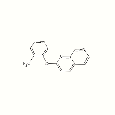 FC(F)(F)c1ccccc1Oc1ccc2ccncc2n1